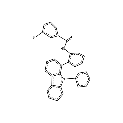 O=C(Nc1ccccc1-c1cccc2c3ccccc3n(-c3ccccc3)c12)c1cccc(Br)c1